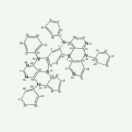 c1ccc(N2c3cc4c(cc3B3c5cnccc5N(c5ccccc5)c5nccc2c53)B2c3ccccc3N(c3ccccc3)c3ncnc(c32)N4c2ccccc2)cc1